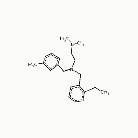 CCc1ccccc1CN(CCN(C)C)Cc1cccc(C)c1